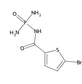 NP(N)(=O)NC(=O)c1ccc(Br)s1